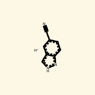 N#Cc1ccc2n[nH]cc2c1.[H+]